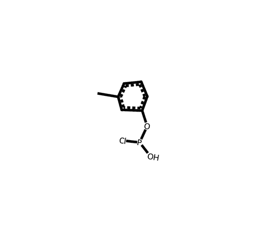 Cc1cccc(OP(O)Cl)c1